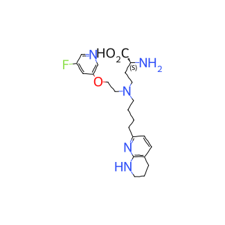 N[C@@H](CCN(CCCCc1ccc2c(n1)NCCC2)CCOc1cncc(F)c1)C(=O)O